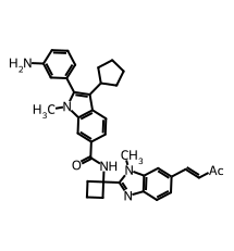 CC(=O)/C=C/c1ccc2nc(C3(NC(=O)c4ccc5c(C6CCCC6)c(-c6cccc(N)c6)n(C)c5c4)CCC3)n(C)c2c1